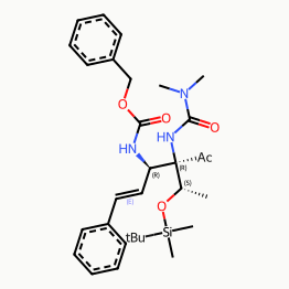 CC(=O)[C@](NC(=O)N(C)C)([C@H](C)O[Si](C)(C)C(C)(C)C)[C@@H](/C=C/c1ccccc1)NC(=O)OCc1ccccc1